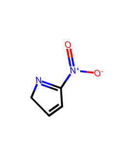 O=[N+]([O-])C1=NCC=C1